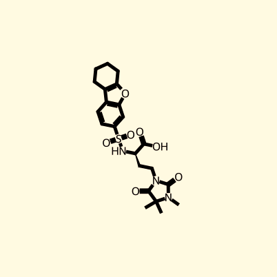 CN1C(=O)N(CC[C@@H](NS(=O)(=O)c2ccc3c4c(oc3c2)CCCC4)C(=O)O)C(=O)C1(C)C